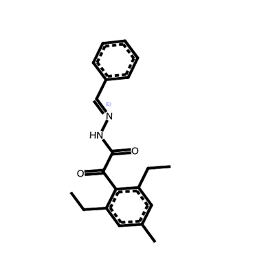 CCc1cc(C)cc(CC)c1C(=O)C(=O)N/N=C/c1ccccc1